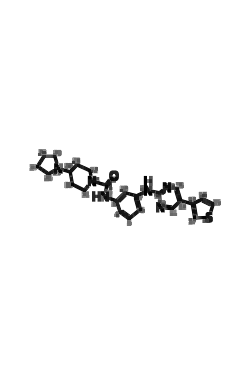 O=C(Nc1cccc(Nc2ncc(-c3ccsc3)cn2)c1)N1CCC(N2CCCC2)CC1